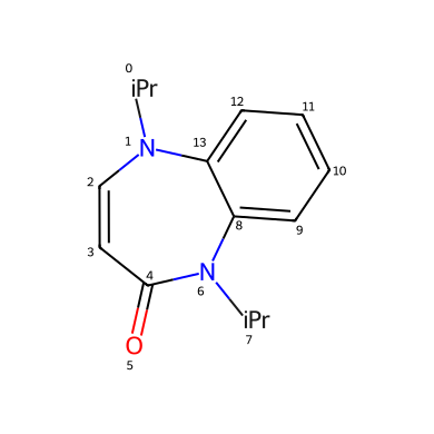 CC(C)N1C=CC(=O)N(C(C)C)c2ccccc21